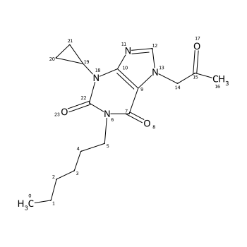 CCCCCCn1c(=O)c2c(ncn2CC(C)=O)n(C2CC2)c1=O